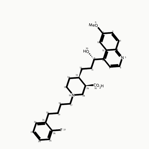 COc1ccc2nccc([C@@H](O)CC[C@@H]3CCN(CCCCc4ccccc4F)C[C@@H]3C(=O)O)c2c1